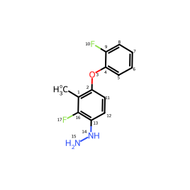 Cc1c(Oc2ccccc2F)ccc(NN)c1F